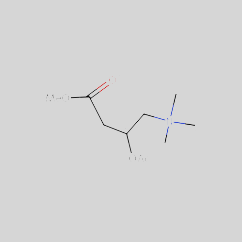 COC(=O)CC(C[N+](C)(C)C)OC(C)=O